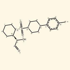 O=CN(O)[C@H]1CCCC[C@@H]1S(=O)(=O)N1CCN(c2ccc(F)cc2)CC1